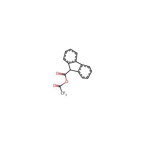 O=C(OC(=O)C(F)(F)F)C1c2ccccc2-c2ccccc21